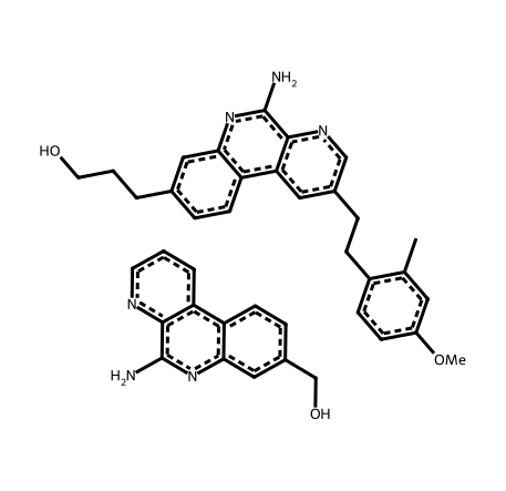 COc1ccc(CCc2cnc3c(N)nc4cc(CCCO)ccc4c3c2)c(C)c1.Nc1nc2cc(CO)ccc2c2cccnc12